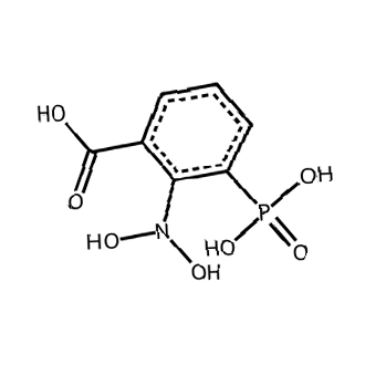 O=C(O)c1cccc(P(=O)(O)O)c1N(O)O